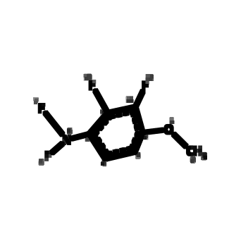 COc1ccc(N(F)F)c(F)c1F